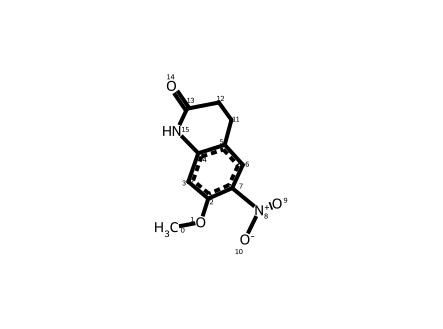 COc1cc2c(cc1[N+](=O)[O-])CCC(=O)N2